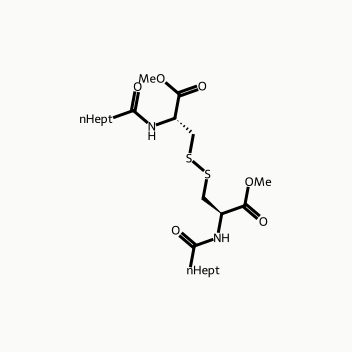 CCCCCCCC(=O)N[C@@H](CSSC[C@H](NC(=O)CCCCCCC)C(=O)OC)C(=O)OC